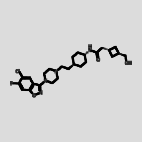 O=C(C[C@H]1C[C@H](CO)C1)N[C@H]1CC[C@H](CCN2CCN(c3noc4cc(F)c(Cl)cc34)CC2)CC1